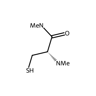 CNC(=O)[C@@H](CS)NC